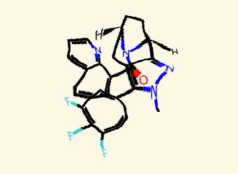 Cn1nc2c(c1-c1cc(F)c(F)c(F)c1)C[C@@H]1CC[C@H]2N1C(=O)c1cccc2cccnc12